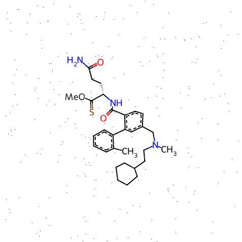 COC(=S)[C@H](CCC(N)=O)NC(=O)c1ccc(CN(C)CCC2CCCCC2)cc1-c1ccccc1C